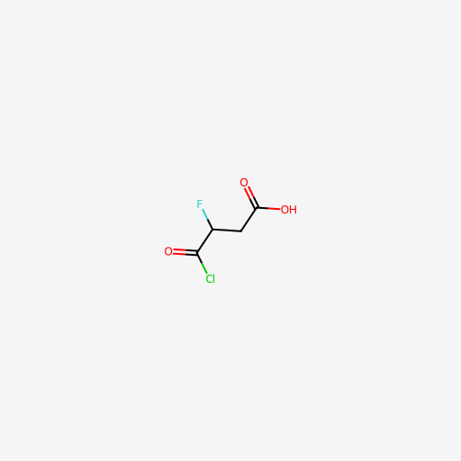 O=C(O)CC(F)C(=O)Cl